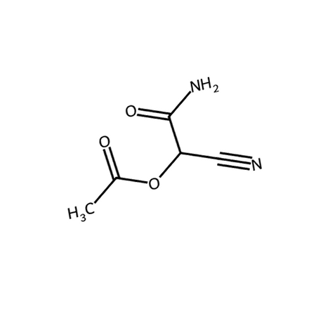 CC(=O)OC(C#N)C(N)=O